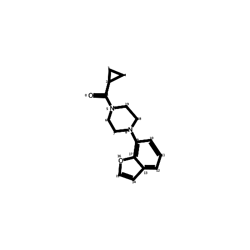 O=C(C1CC1)N1CCN(c2cccc3ccoc23)CC1